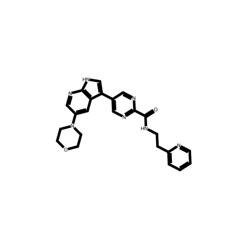 O=C(NCCc1ccccn1)c1ncc(-c2c[nH]c3ncc(N4CCOCC4)cc23)cn1